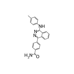 Cc1ccc(Nc2nnc(-c3ccc(C(N)=O)cc3)c3ccccc23)cc1